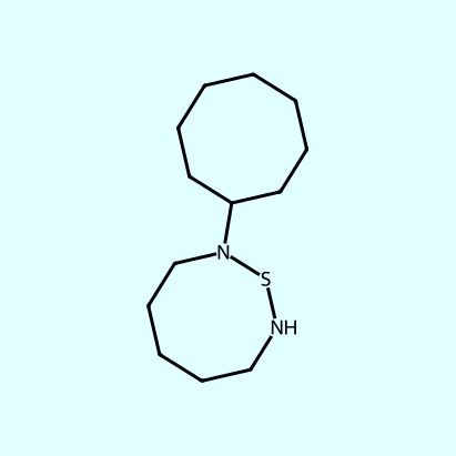 C1CCCC(N2CCCCCNS2)CCC1